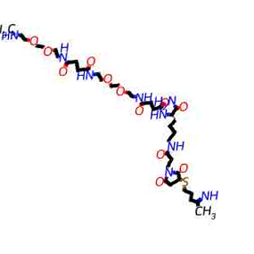 CNCCOCCOCCNC(=O)CCC(=O)NCCOCCOCCNC(=O)CCC(=O)N[C@@H](CCCCNC(=O)CCN1C(=O)CC(SCCCC(C)=N)C1=O)C(N)=O